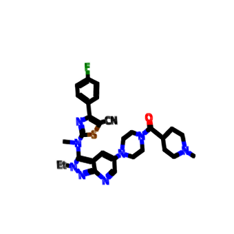 CCn1nc2ncc(N3CCN(C(=O)C4CCN(C)CC4)CC3)cc2c1N(C)c1nc(-c2ccc(F)cc2)c(C#N)s1